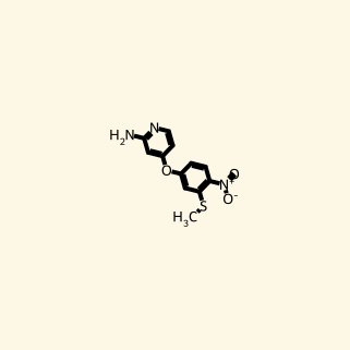 CSc1cc(Oc2ccnc(N)c2)ccc1[N+](=O)[O-]